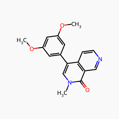 COc1cc(OC)cc(-c2cn(C)c(=O)c3cnccc23)c1